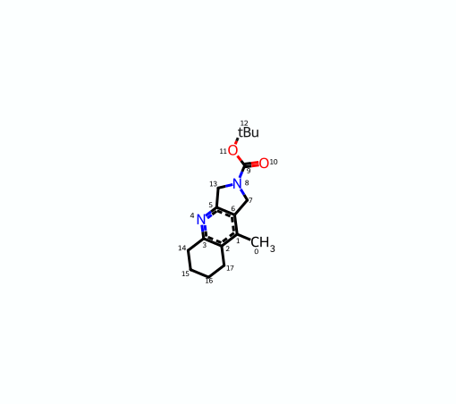 Cc1c2c(nc3c1CN(C(=O)OC(C)(C)C)C3)CCCC2